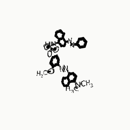 COc1cc(OS(=O)(=O)Nc2ccc(N=Nc3ccccc3)c3ccccc23)ccc1N=Nc1ccc(N(C)C)c2ccccc12